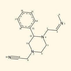 C/N=C\CN1CCN(CC#N)CC1c1ccccc1